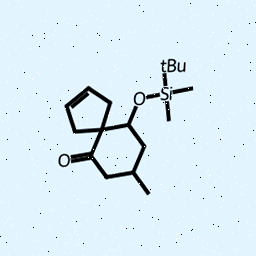 CC1CC(=O)C2(CC=CC2)C(O[Si](C)(C)C(C)(C)C)C1